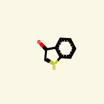 O=C1C=[SH]c2ccccc21